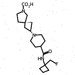 O=C(NC1(CF)CCC1)C1CCN([C@H]2C[C@@]3(CCN(C(=O)O)C3)C2)CC1